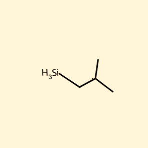 C[C](C)C[SiH3]